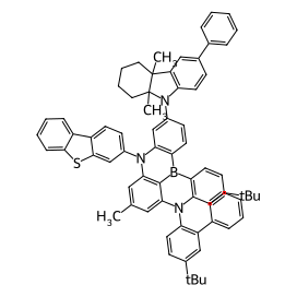 Cc1cc2c3c(c1)N(c1ccc(C(C)(C)C)cc1-c1ccccc1)c1cc(C(C)(C)C)ccc1B3c1ccc(N3c4ccc(-c5ccccc5)cc4C4(C)CCCCC34C)cc1N2c1ccc2c(c1)sc1ccccc12